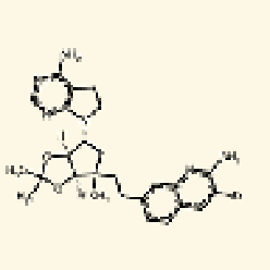 CC1(C)O[C@H]2[C@H](N3CCc4c(N)ncnc43)C[C@](C)(CCc3ccc4cc(Br)c(N)nc4c3)[C@H]2O1